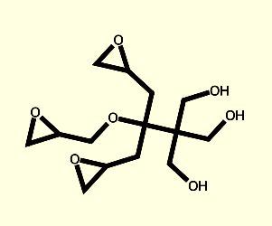 OCC(CO)(CO)C(CC1CO1)(CC1CO1)OCC1CO1